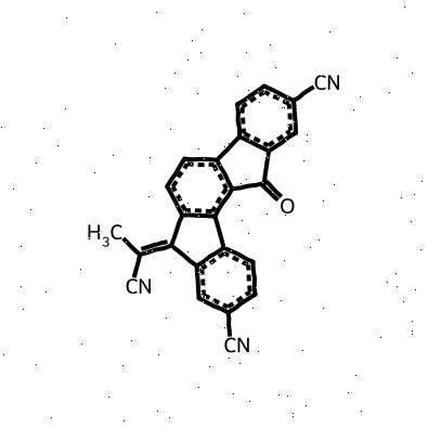 C/C(C#N)=C1/c2cc(C#N)ccc2-c2c1ccc1c2C(=O)c2cc(C#N)ccc2-1